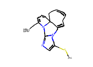 CC(=O)Sc1cnc2n1C1=CC=CCC13C=CC=C(C(C)(C)C)N23